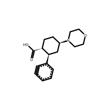 O=C(O)[C@@H]1CC[C@@H](N2CCOCC2)C[C@H]1c1c#cccc1